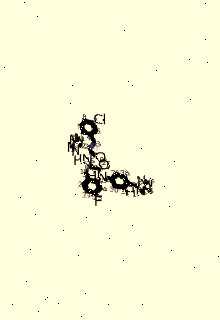 O=C(/C=C/c1cc(Cl)ccc1-n1cnnn1)N[C@@H](Cc1ccc(F)cc1)C(=O)Nc1ccc(-c2nnn[nH]2)cc1